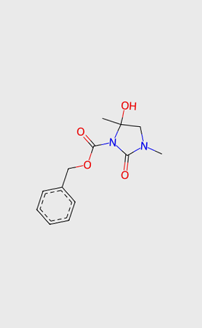 CN1CC(C)(O)N(C(=O)OCc2ccccc2)C1=O